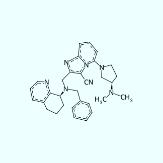 CN(C)[C@@H]1CCN(c2cccc3nc(CN(Cc4ccccc4)[C@H]4CCCc5cccnc54)c(C#N)n23)C1